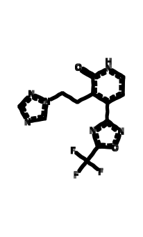 O=c1[nH]ccc(-c2noc(C(F)(F)F)n2)c1CCn1cncn1